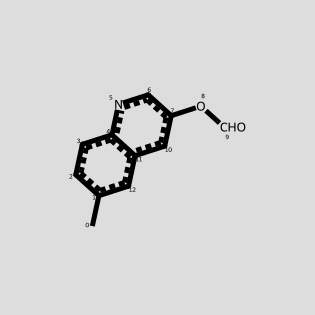 Cc1ccc2ncc(OC=O)cc2c1